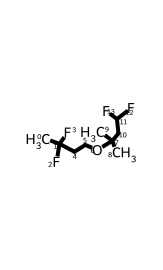 CC(F)(F)CCOC(C)(C)CC(F)F